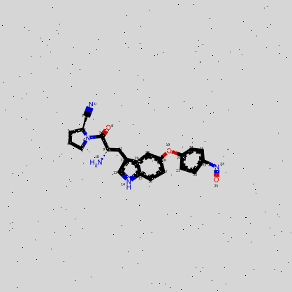 N#C[C@@H]1CCCN1C(=O)[C@@H](N)Cc1c[nH]c2ccc(Oc3ccc(N=O)cc3)cc12